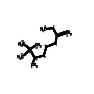 C=C(CC)CCCN(C)C(C)(C)C